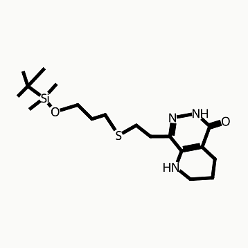 CC(C)(C)[Si](C)(C)OCCCSCCc1n[nH]c(=O)c2c1NCCC2